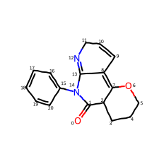 O=C1C2CCCOC2=C2C=CCN=C2N1c1ccccc1